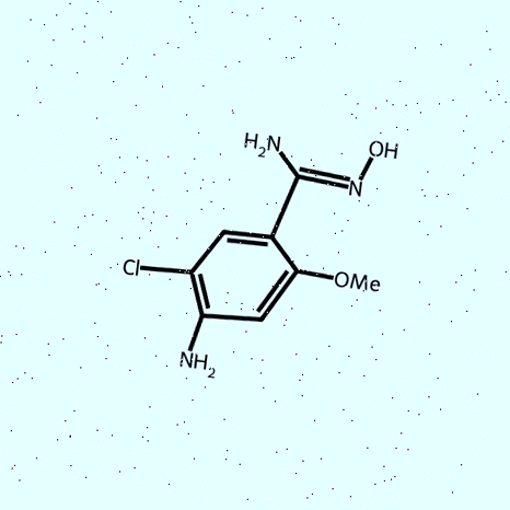 COc1cc(N)c(Cl)cc1C(N)=NO